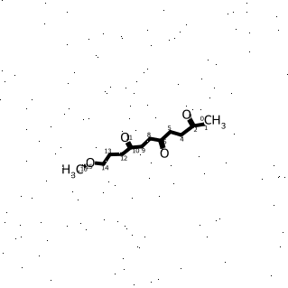 CCC(=O)CCC(=O)CCC(=O)CCCOC